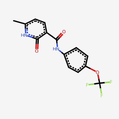 Cc1ccc(C(=O)Nc2ccc(OC(F)(F)F)cc2)c(=O)[nH]1